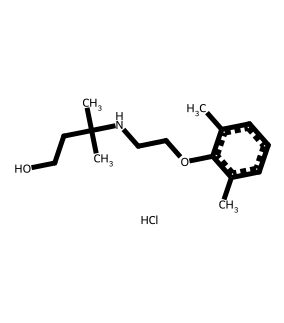 Cc1cccc(C)c1OCCNC(C)(C)CCO.Cl